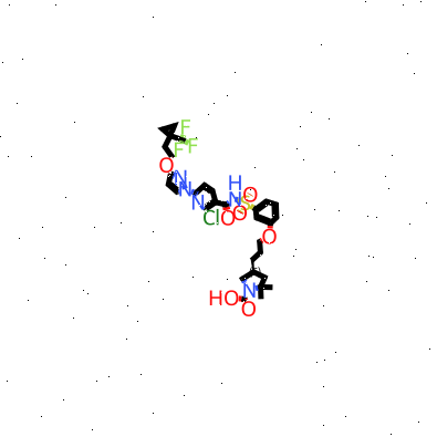 CC1(C)C[C@H](CCCOc2cccc(S(=O)(=O)NC(=O)c3ccc(-n4ccc(OCCC5(C(F)(F)F)CC5)n4)nc3Cl)c2)CN1C(=O)O